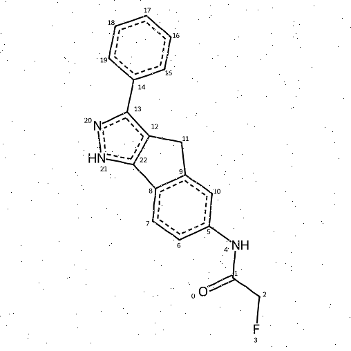 O=C(CF)Nc1ccc2c(c1)Cc1c(-c3ccccc3)n[nH]c1-2